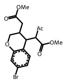 COC(=O)CC1COc2cc(Br)ccc2C1C(C(C)=O)C(=O)OC